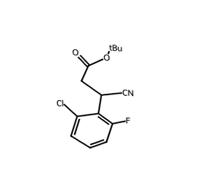 CC(C)(C)OC(=O)CC(C#N)c1c(F)cccc1Cl